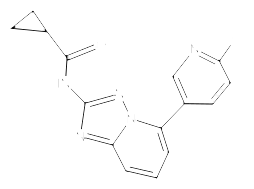 O=C(Nc1nc2cccc(-c3ccc(Cl)nc3)n2n1)C1CC1